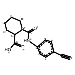 [C]#Cc1ccc(NC(=O)N2CCCCC2C(=O)O)cc1